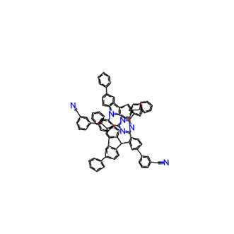 N#Cc1cccc(-c2ccc(-c3nc(-c4ccccc4)nc(-c4ccc(-c5cccc(C#N)c5)cc4-n4c5ccc(-c6ccccc6)cc5c5cc(-c6ccccc6)ccc54)n3)c(C3c4ccc(-c5ccccc5)cc4-c4cc(-c5ccccc5)ccc43)c2)c1